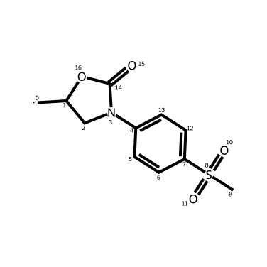 [CH2]C1CN(c2ccc(S(C)(=O)=O)cc2)C(=O)O1